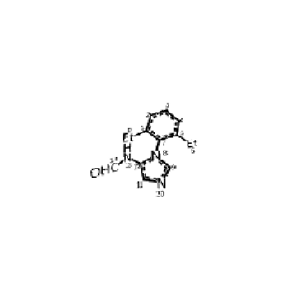 CCc1cccc(CC)c1-n1cncc1NC=O